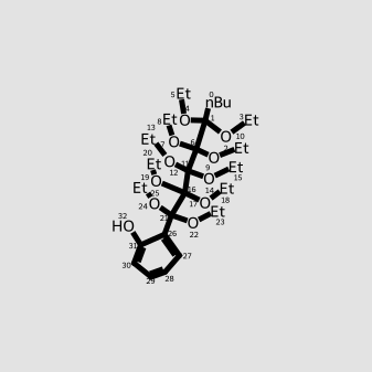 CCCCC(OCC)(OCC)C(OCC)(OCC)C(OCC)(OCC)C(OCC)(OCC)C(OCC)(OCC)c1ccccc1O